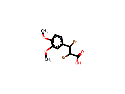 COc1ccc(C(Br)C(Br)C(=O)O)cc1OC